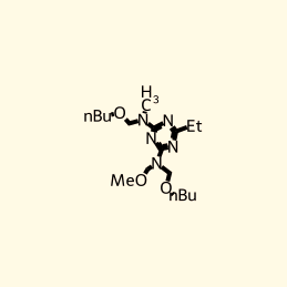 CCCCOCN(C)c1nc(CC)nc(N(COC)COCCCC)n1